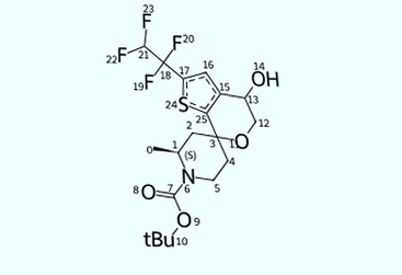 C[C@H]1CC2(CCN1C(=O)OC(C)(C)C)OCC(O)c1cc(C(F)(F)C(F)F)sc12